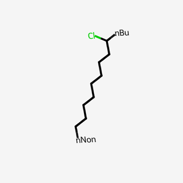 CCCCCCCCCCCCCCCCCC(Cl)CCCC